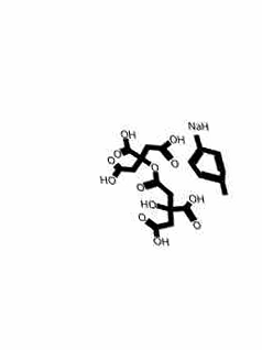 Cc1ccc(C)cc1.O=C(O)CC(O)(CC(=O)OC(CC(=O)O)(CC(=O)O)C(=O)O)C(=O)O.[NaH]